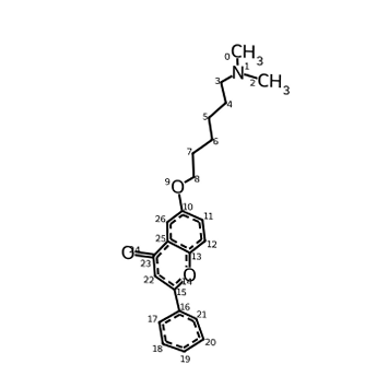 CN(C)CCCCCCOc1ccc2oc(-c3ccccc3)cc(=O)c2c1